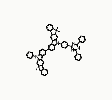 CC1(C)c2ccccc2-c2cc3c4cc(-c5ccc6c(c5)c5cc7c(cc5n6-c5ccccc5)oc5ccccc57)ccc4n(-c4ccc(-c5nc(-c6ccccc6)nc(-c6ccccc6)n5)cc4)c3cc21